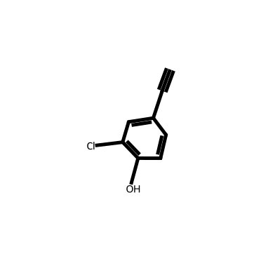 C#Cc1ccc(O)c(Cl)c1